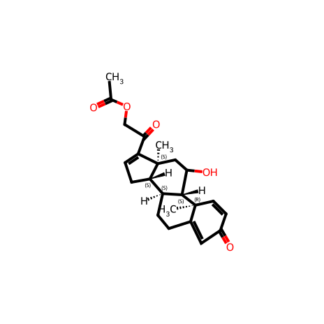 CC(=O)OCC(=O)C1=CC[C@H]2[C@@H]3CCC4=CC(=O)C=C[C@]4(C)[C@H]3C(O)C[C@]12C